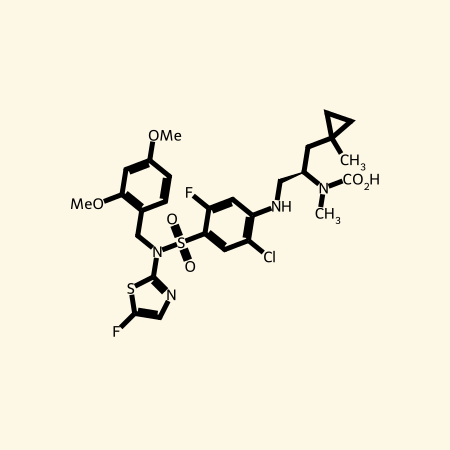 COc1ccc(CN(c2ncc(F)s2)S(=O)(=O)c2cc(Cl)c(NC[C@@H](CC3(C)CC3)N(C)C(=O)O)cc2F)c(OC)c1